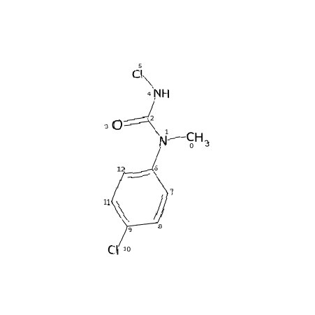 CN(C(=O)NCl)c1ccc(Cl)cc1